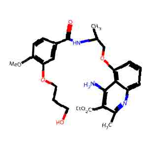 CCOC(=O)c1c(C)nc2cccc(OCC(C)NC(=O)c3ccc(OC)c(OCCCO)c3)c2c1N